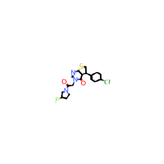 O=C1C2C(N=CN1CC(=O)N1CCC(F)C1)SCC2C1=CCC(Cl)CC1